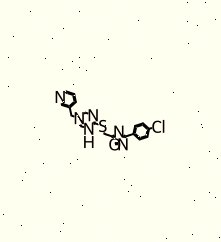 Clc1ccc(-c2noc(CSC3=NCN(Cc4cccnc4)CN3)n2)cc1